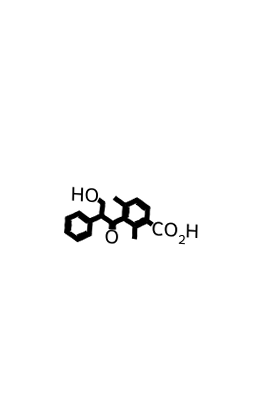 Cc1ccc(C(=O)O)c(C)c1C(=O)C(CO)c1ccccc1